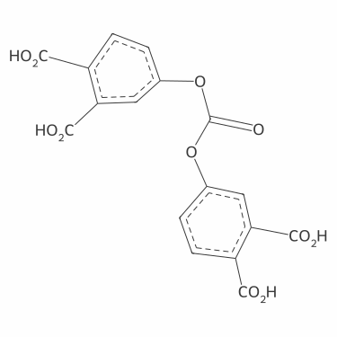 O=C(Oc1ccc(C(=O)O)c(C(=O)O)c1)Oc1ccc(C(=O)O)c(C(=O)O)c1